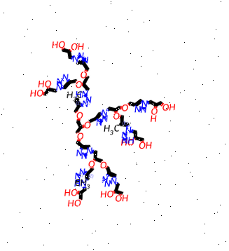 C/C=C(COCC(COCc1cn(CC(COCc2cn(CC(O)CO)nn2)OCC(=C/NCC(O)CO)/N=N\C)nn1)OCc1cn(CC(COCc2cn(CC(O)CO)nn2)OC/C(C)=C/N(CC(O)CO)N=N)nn1)\N=N/NCC(COCc1cn(CC(O)CO)nn1)OCc1cn(CC(O)CO)nn1